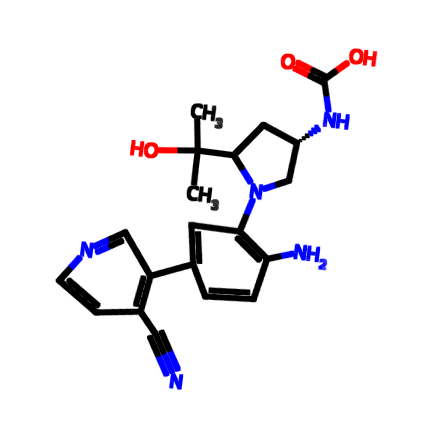 CC(C)(O)C1C[C@H](NC(=O)O)CN1c1cc(-c2cnccc2C#N)ccc1N